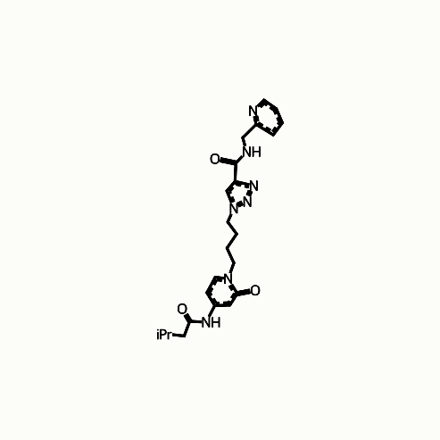 CC(C)CC(=O)Nc1ccn(CCCCn2cc(C(=O)NCc3ccccn3)nn2)c(=O)c1